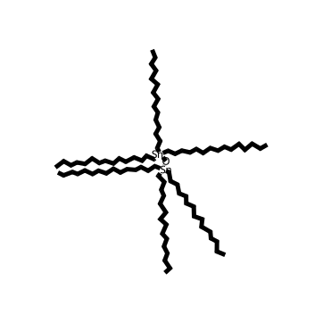 CCCCCCCCCCCCCC[CH2][Sn]([CH2]CCCCCCCCCCCCCC)([CH2]CCCCCCCCCCCCCC)[O][Sn]([CH2]CCCCCCCCCCCCCC)([CH2]CCCCCCCCCCCCCC)[CH2]CCCCCCCCCCCCCC